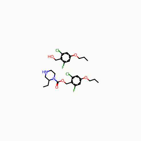 CCCOc1cc(F)c(CO)c(Cl)c1.CCCOc1cc(F)c(COC(=O)N2CCNCC2CC)c(Cl)c1